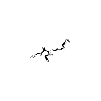 C=C/N=C\CCC[C@H](NC=O)C(=O)NCC